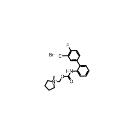 C[N+]1(COC(=O)Nc2ccccc2-c2ccc(F)c(Cl)c2)CCCC1.[Br-]